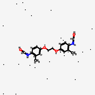 Cc1cc(OCCOc2ccc(N=C=O)c(C)c2)ccc1N=C=O